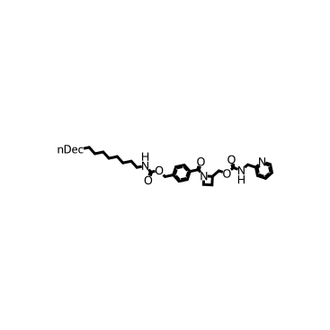 CCCCCCCCCCCCCCCCCCNC(=O)OCc1ccc(C(=O)N2CCC2COC(=O)NCc2ccccn2)cc1